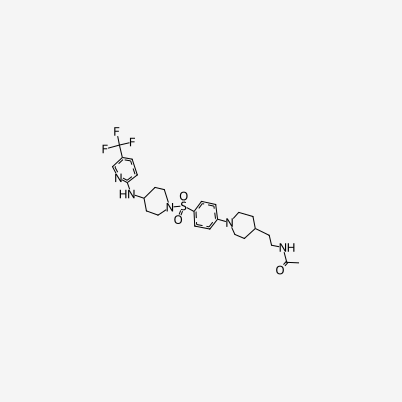 CC(=O)NCCC1CCN(c2ccc(S(=O)(=O)N3CCC(Nc4ccc(C(F)(F)F)cn4)CC3)cc2)CC1